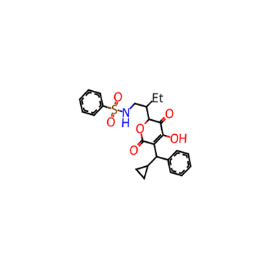 CCC(CNS(=O)(=O)c1ccccc1)C1OC(=O)C(C(c2ccccc2)C2CC2)=C(O)C1=O